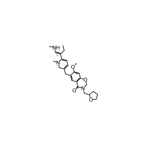 CC/C(=C\NC)C1=CC=C(Cc2cc3c(cc2OC)OCN(CC2CCCO2)C3=O)CN1C